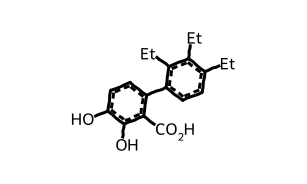 CCc1ccc(-c2ccc(O)c(O)c2C(=O)O)c(CC)c1CC